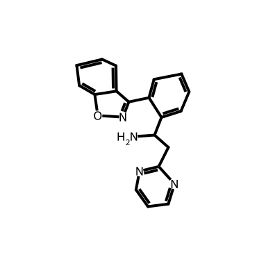 NC(Cc1ncccn1)c1ccccc1-c1noc2ccccc12